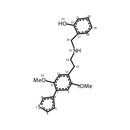 COc1cc(-c2ccsc2)c(OC)cc1CCNCc1ccccc1O